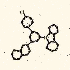 Clc1ccc(-c2cc(-c3ccc4ccccc4c3)cc(-n3c4ccccc4c4ccccc43)c2)cc1